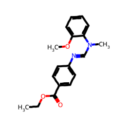 CCOC(=O)c1ccc(N=CN(C)c2ccccc2OC)cc1